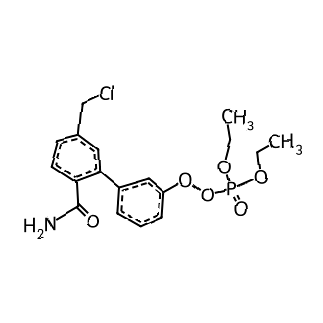 CCOP(=O)(OCC)OOc1cccc(-c2cc(CCl)ccc2C(N)=O)c1